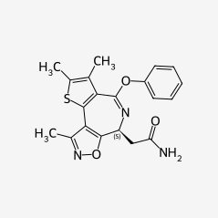 Cc1noc2c1-c1sc(C)c(C)c1C(Oc1ccccc1)=N[C@H]2CC(N)=O